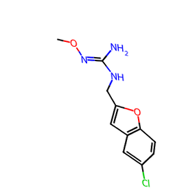 CON=C(N)NCc1cc2cc(Cl)ccc2o1